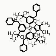 CC1=C(C)C(C)C([Si](c2cc(Cc3ccccc3)cc(C(C)(C)C)c2)(c2cc(Cc3ccccc3)cc(C(C)(C)C)c2)c2cc(Cc3ccccc3)cc(C(C)(C)C)c2)=C1C